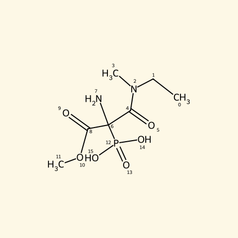 CCN(C)C(=O)C(N)(C(=O)OC)P(=O)(O)O